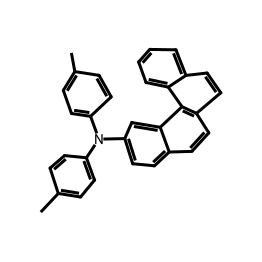 Cc1ccc(N(c2ccc(C)cc2)c2ccc3ccc4ccc5ccccc5c4c3c2)cc1